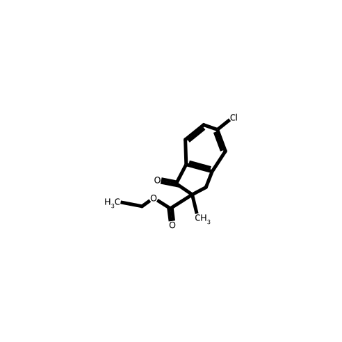 CCOC(=O)C1(C)Cc2cc(Cl)ccc2C1=O